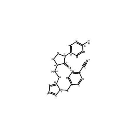 N#Cc1ccc(Cn2cncc2CNC2CCN(c3ccc(Cl)cc3)C2=O)cc1